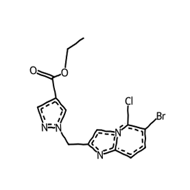 CCOC(=O)c1cnn(Cc2cn3c(Cl)c(Br)ccc3n2)c1